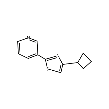 c1cncc(-c2nc(C3CCC3)cs2)c1